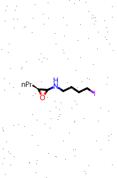 CCC[C@@H]1OC1NCCCCI